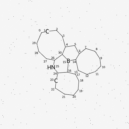 C1CCCC2CC3CCCCCCCC3B3C4CCCCCCCC4NC(CCC1)C32